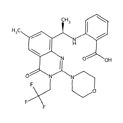 Cc1cc([C@@H](C)Nc2ccccc2C(=O)O)c2nc(N3CCOCC3)n(CC(F)(F)F)c(=O)c2c1